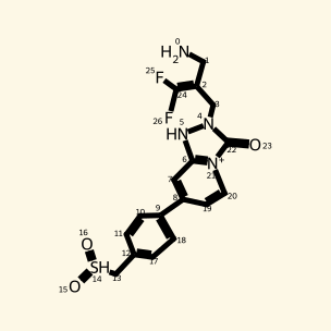 NCC(Cn1[nH]c2cc(-c3ccc(C[SH](=O)=O)cc3)cc[n+]2c1=O)=C(F)F